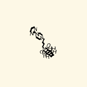 O=C1[C@@H]2[C@H]3C=C[C@H]([C@@H]4C=C[C@@H]43)[C@@H]2C(=O)N1CCCCN1CCN(c2ncccn2)CC1